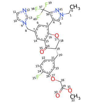 CCn1cc(-c2cc(Cn3ccnc3)cc3c2OC[C@H](Cc2ccc(F)c(OCC(=O)OC)c2)C3=O)c(C(F)(F)F)n1